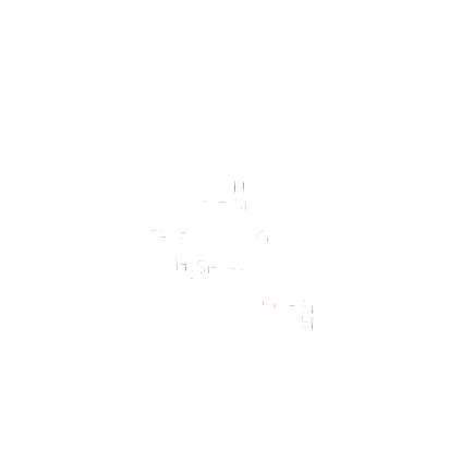 C=C[SiH2]C(O[SiH](C)C)O[SiH](C)C